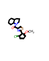 COc1cccc(Cl)c1-c1nc(C(=O)N2CCCC3CCCCC32)cs1